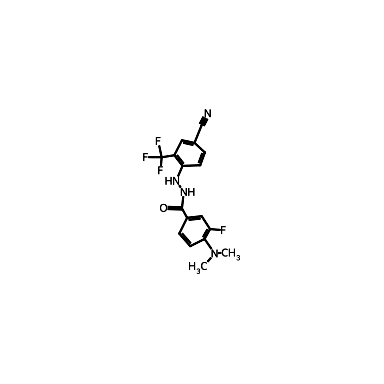 CN(C)c1ccc(C(=O)NNc2ccc(C#N)cc2C(F)(F)F)cc1F